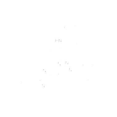 CC(C)(C)OC(=O)NCCCCN(Cc1cn(-c2ccccc2)nn1)C1CCCC2=CCCN=C21